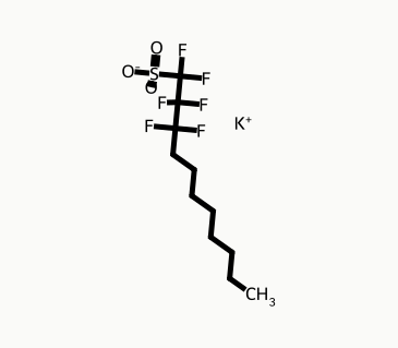 CCCCCCCCC(F)(F)C(F)(F)C(F)(F)S(=O)(=O)[O-].[K+]